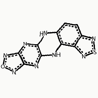 c1cc2nsnc2c2c1Nc1nc3nonc3nc1N2